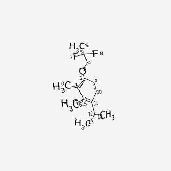 Cc1c(OCC(C)(F)F)ccc(C(C)C)c1C